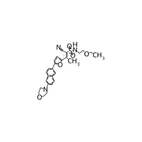 CCOCCNS(=O)(=O)/C(C#N)=C(\C)c1ccc(-c2ccc3cc(N4CCOCC4)ccc3c2)o1